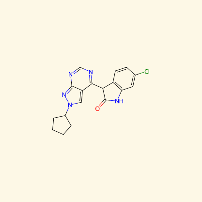 O=C1Nc2cc(Cl)ccc2C1c1ncnc2nn(C3CCCC3)cc12